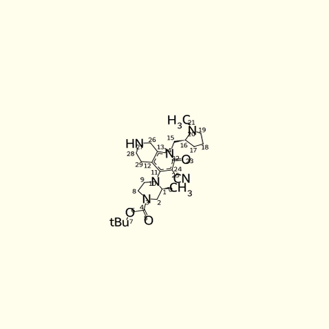 C[C@H]1CN(C(=O)OC(C)(C)C)CCN1c1c2c(n(C[C@@H]3CCCN3C)c(=O)c1C#N)CNCC2